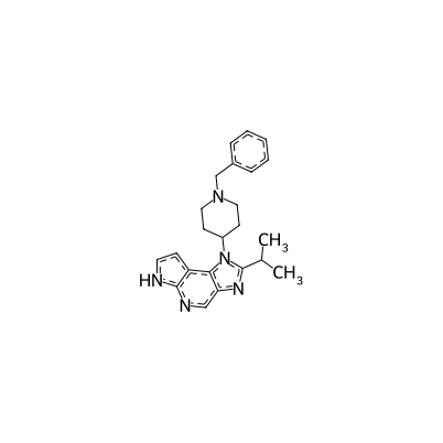 CC(C)c1nc2cnc3[nH]ccc3c2n1C1CCN(Cc2ccccc2)CC1